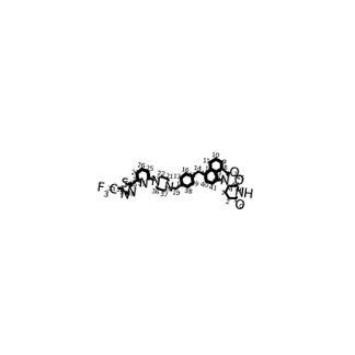 O=C1CCC(N2C(=O)c3cccc4c(Cc5ccc(CN6CCN(c7cccc(-c8nnc(C(F)(F)F)s8)n7)CC6)cc5)ccc2c34)C(=O)N1